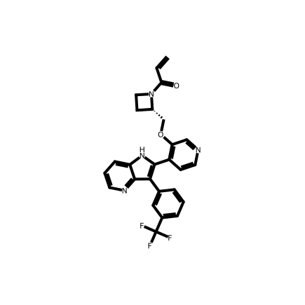 C=CC(=O)N1CC[C@H]1COc1cnccc1-c1[nH]c2cccnc2c1-c1cccc(C(F)(F)F)c1